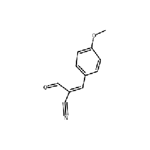 COc1ccc(C=C([C]=O)C#N)cc1